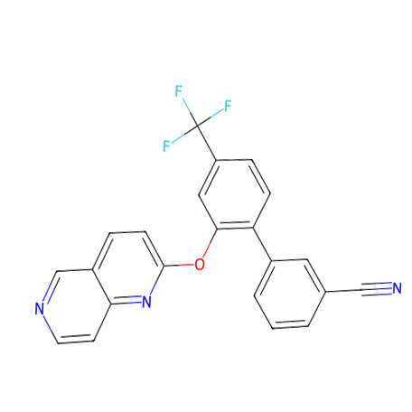 N#Cc1cccc(-c2ccc(C(F)(F)F)cc2Oc2ccc3cnccc3n2)c1